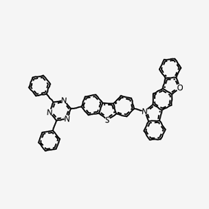 c1ccc(-c2nc(-c3ccccc3)nc(-c3ccc4c(c3)sc3cc(-n5c6ccccc6c6cc7oc8ccccc8c7cc65)ccc34)n2)cc1